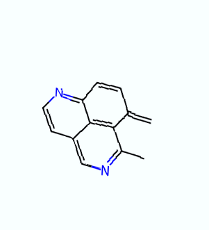 C=c1ccc2nccc3cnc(C)c1c32